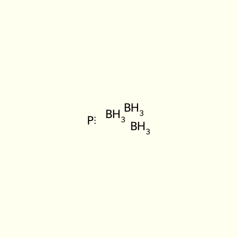 B.B.B.[P]